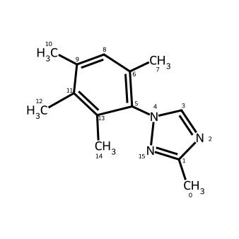 Cc1ncn(-c2c(C)cc(C)c(C)c2C)n1